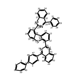 c1ccc(-c2ccc(-c3nc(-c4cccc5c4sc4cccc(-c6nc(-c7ccccc7)c7ccccc7n6)c45)nc4ccccc34)cc2)cc1